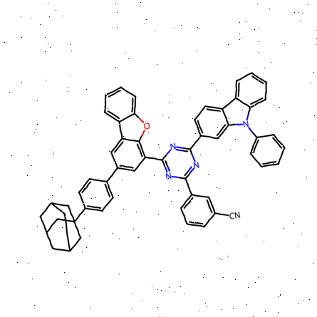 N#Cc1cccc(-c2nc(-c3ccc4c5ccccc5n(-c5ccccc5)c4c3)nc(-c3cc(-c4ccc(C56CC7CC(CC(C7)C5)C6)cc4)cc4c3oc3ccccc34)n2)c1